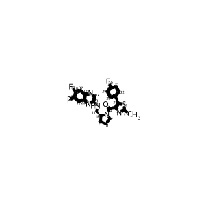 Cc1nc(C(=O)N2CCC[C@H]2CNc2cnc3cc(F)c(F)cc3n2)c(-c2ccc(F)cc2)s1